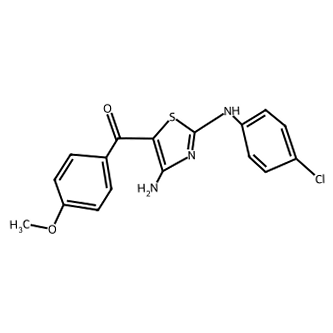 COc1ccc(C(=O)c2sc(Nc3ccc(Cl)cc3)nc2N)cc1